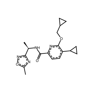 Cc1nc([C@@H](C)NC(=O)c2ccc(C3CC3)c(OCC3CC3)n2)no1